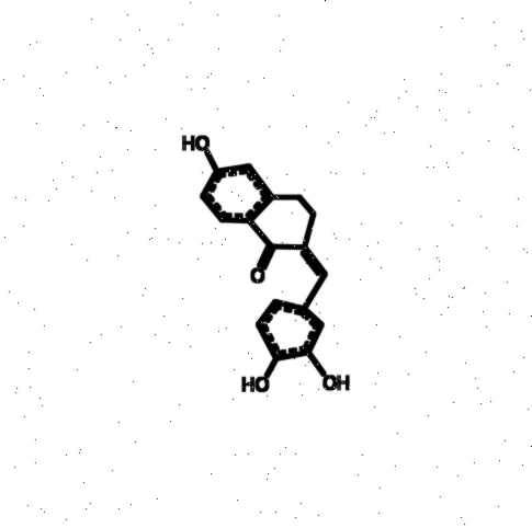 O=C1C(=Cc2ccc(O)c(O)c2)CCc2cc(O)ccc21